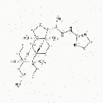 CC(NNC1=NCCN1)[C@H]1CC[C@]2(O)[C@@H]3CC[C@@H]4C[C@@H](O)CC[C@]4(C)[C@H]3CC[C@]12C